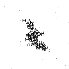 Nc1ccn([C@H]2CC(OP(=O)(O)OC[C@H]3O[C@@H](n4cnc5c(N)ncnc54)C(O)C3O)[C@@H](COP(=O)(O)O)O2)c(=O)n1